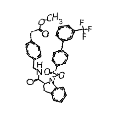 COC(=O)Cc1ccc(CNC(=O)C2Cc3ccccc3N2S(=O)(=O)c2ccc(-c3cccc(C(F)(F)F)c3)cc2)cc1